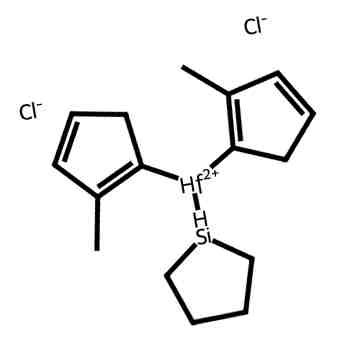 CC1=[C]([Hf+2]([C]2=C(C)C=CC2)[SiH]2CCCC2)CC=C1.[Cl-].[Cl-]